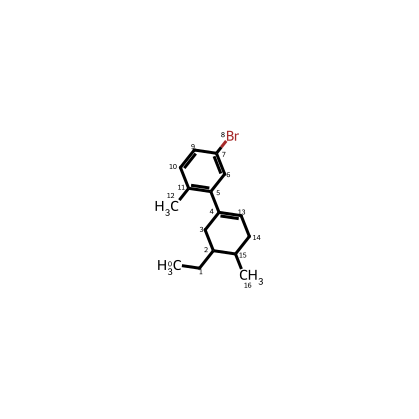 CCC1CC(c2cc(Br)ccc2C)=CCC1C